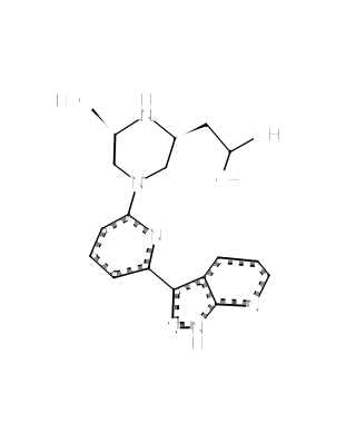 CC(C)C[C@H]1CN(c2cccc(-c3n[nH]c4ncccc34)n2)C[C@@H](C)N1